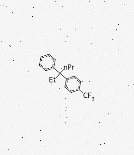 CCCC(CC)(c1ccccc1)c1ccc(C(F)(F)F)cc1